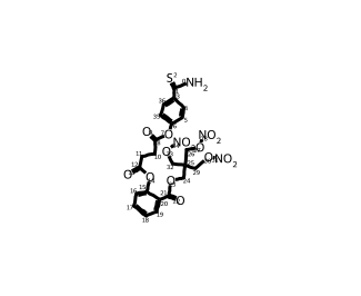 NC(=S)c1ccc(OC(=O)CCC(=O)Oc2ccccc2C(=O)OCC(CO[N+](=O)[O-])(CO[N+](=O)[O-])CO[N+](=O)[O-])cc1